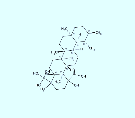 C[C@@H]1[C@H]2[C@H]3CC[C@@H]4[C@]5(C)[C@@H](CC[C@@]4(C)[C@]3(C)CC[C@@]2(C)CC[C@H]1C)C(C)(C(O)(O)O)CCC5(O)C(=O)O